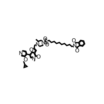 CC1CN(S(=O)(=O)CCCCCCCCCCN2C(=O)c3ccccc3C2=O)CCN1Cc1cc2c(=O)n(C)cc(-c3ccncc3OCC3CC3)c2o1